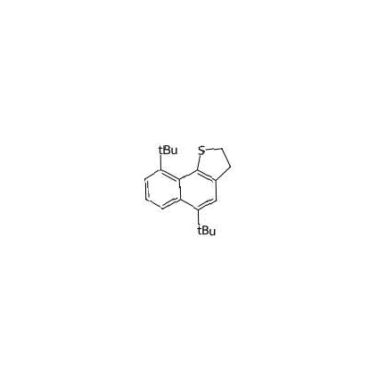 CC(C)(C)c1cc2c(c3c(C(C)(C)C)cccc13)SCC2